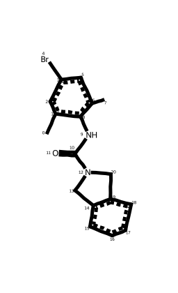 Cc1cc(Br)cc(C)c1NC(=O)N1Cc2ccccc2C1